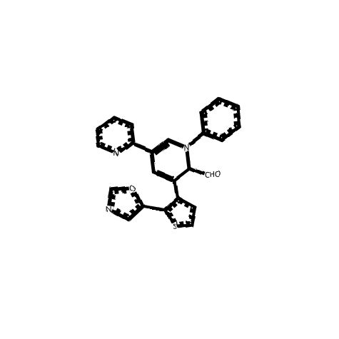 O=CC1C(c2ccsc2-c2cnco2)=CC(c2ccccn2)=CN1c1ccccc1